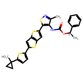 Cc1nsc(-c2cc3sc(-c4ccc(C5(C(=O)O)CC5)s4)cc3s2)c1NC(=O)O[C@H](C)c1ccccc1